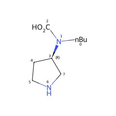 CCCCN(C(=O)O)[C@@H]1CCNC1